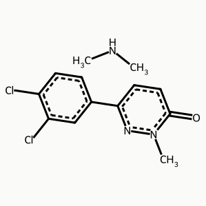 CNC.Cn1nc(-c2ccc(Cl)c(Cl)c2)ccc1=O